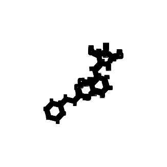 O=C(CCC1CCCCC1)Oc1cccc(/C=C2\SC(=O)NC2=O)c1Cl